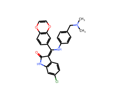 CN(C)Cc1ccc(NC(=C2C(=O)Nc3cc(Cl)ccc32)c2ccc3c(c2)OC=CO3)cc1